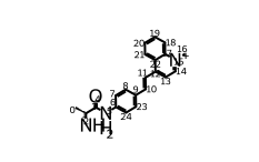 C[C@H](N)C(=O)Nc1ccc(C=Cc2cc[n+](C)c3ccccc23)cc1